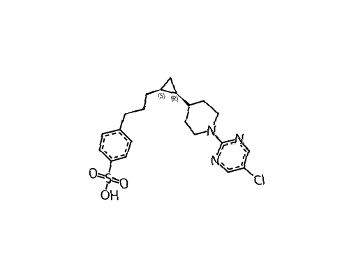 O=S(=O)(O)c1ccc(CCC[C@H]2C[C@H]2C2CCN(c3ncc(Cl)cn3)CC2)cc1